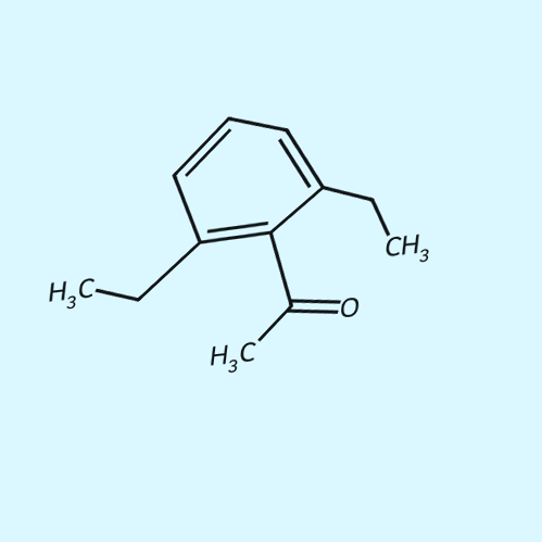 CCc1cccc(CC)c1C(C)=O